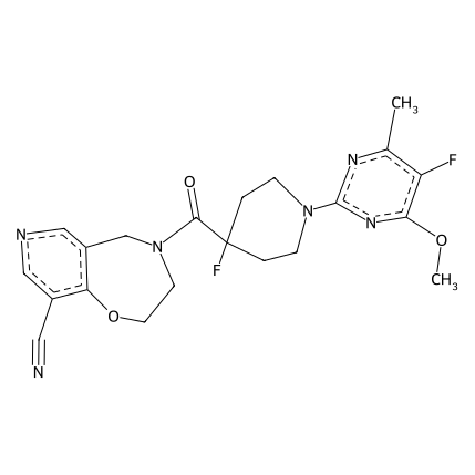 COc1nc(N2CCC(F)(C(=O)N3CCOc4c(C#N)cncc4C3)CC2)nc(C)c1F